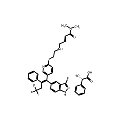 CN(C)C(=O)/C=C/CNCCOc1ccc(/C(=C(/CC(F)(F)F)c2ccccc2)c2ccc3[nH]nc(F)c3c2)cn1.O=C(O)[C@@H](O)c1ccccc1